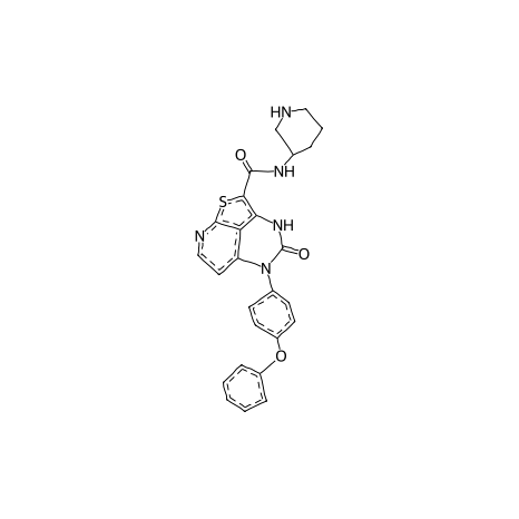 O=C(NC1CCCNC1)c1sc2nccc3c2c1NC(=O)N3c1ccc(Oc2ccccc2)cc1